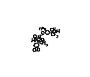 CCCc1cc(C(O)(C(F)(F)F)C(F)(F)F)ccc1OCCN1C(=O)NC(C)(c2ccc3c(c2)OCO3)C1=O